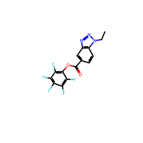 CCn1nnc2cc(C(=O)Oc3c(F)c(F)c(F)c(F)c3F)ccc21